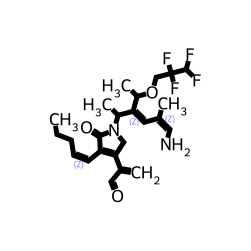 C=C(C=O)C1=C(/C=C\CCC)C(=O)N(C(C)/C(=C/C(C)=C\N)C(C)OCC(F)(F)C(F)F)C1